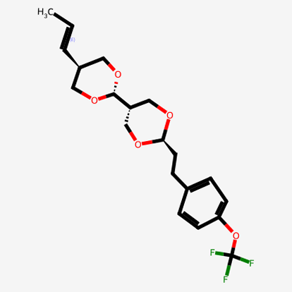 C/C=C/[C@H]1CO[C@H]([C@H]2CO[C@H](CCc3ccc(OC(F)(F)F)cc3)OC2)OC1